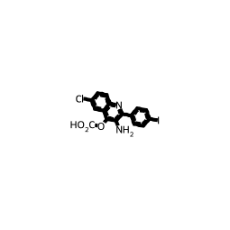 Nc1c(-c2ccc(I)cc2)nc2ccc(Cl)cc2c1OC(=O)O